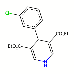 CCOC(=O)C1=CNC=C(C(=O)OCC)C1c1cccc(Cl)c1